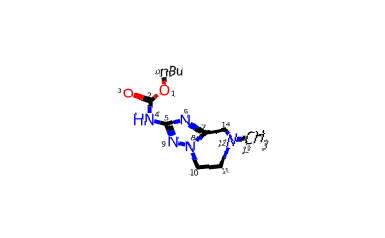 CCCCOC(=O)Nc1nc2n(n1)CCN(C)C2